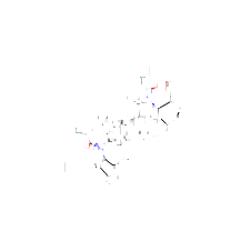 CCc1cccc(C)c1N(C(=O)CCl)C(C)COC.COCC(C)N(C(=O)CCl)c1c(C)csc1C